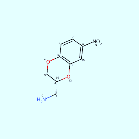 NC[C@@H]1COc2ccc([N+](=O)[O-])cc2O1